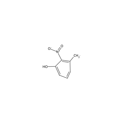 [CH2]c1cccc(O)c1[N+](=O)[O-]